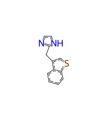 c1ccc2c(Cc3ncc[nH]3)csc2c1